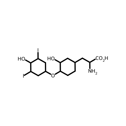 NC(CC1CCC(OC2CC(I)C(O)C(I)C2)C(O)C1)C(=O)O